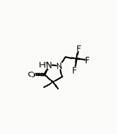 CC1(C)CN(CC(F)(F)F)NC1=O